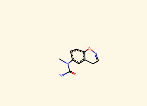 CN(C(N)=O)c1ccc2c(c1)CC=NO2